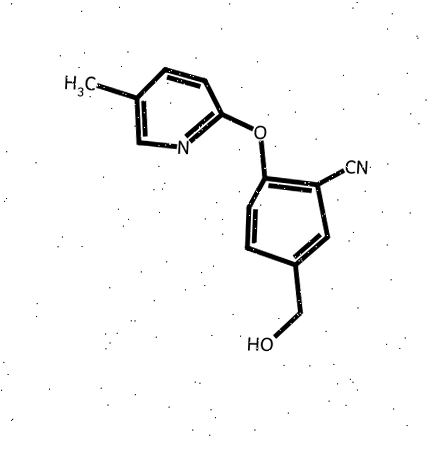 Cc1ccc(Oc2ccc(CO)cc2C#N)nc1